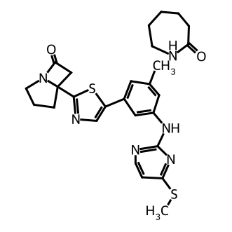 CSc1ccnc(Nc2cc(C)cc(-c3cnc(C45CCCN4C(=O)C5)s3)c2)n1.O=C1CCCCCN1